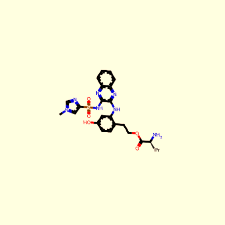 CC(C)[C@H](N)C(=O)OCCc1ccc(O)cc1Nc1nc2ccccc2nc1NS(=O)(=O)c1cn(C)cn1